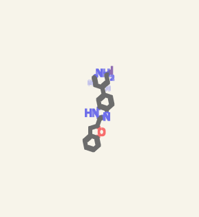 N/C=C\C(=C/CI)c1ccc2nc(C3Cc4ccccc4O3)[nH]c2c1